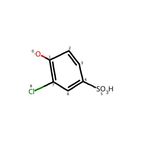 [O]c1ccc(S(=O)(=O)O)cc1Cl